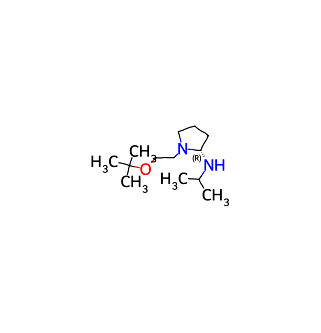 CC(C)N[C@H]1CCCN1CCOC(C)(C)C